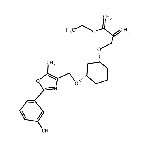 C=C(CO[C@@H]1CCC[C@H](OCc2nc(-c3cccc(C)c3)oc2C)C1)C(=C)OCC